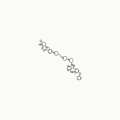 Nc1ncnc2c1c(-c1ccc(Oc3ccccc3)cc1)nn2C1CCCN(C2CCN(CCC3CCN(c4ccc5c(c4)CN(C4CCC(=O)NC4=O)C5=O)CC3)CC2)C1